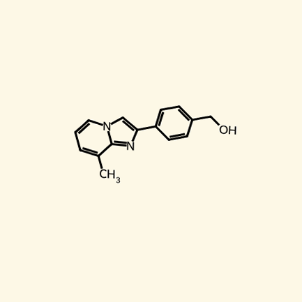 Cc1cccn2cc(-c3ccc(CO)cc3)nc12